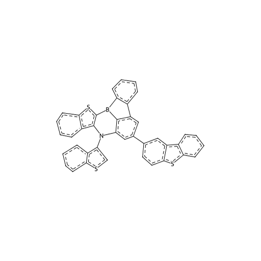 c1ccc2c(c1)B1c3sc4ccccc4c3N(c3csc4ccccc34)c3cc(-c4ccc5sc6ccccc6c5c4)cc-2c31